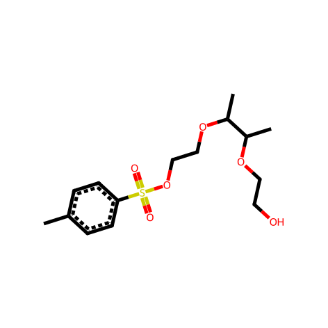 Cc1ccc(S(=O)(=O)OCCOC(C)C(C)OCCO)cc1